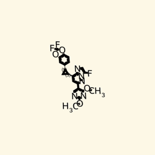 COc1ncc(-c2cc([C@H]3C[C@@H]3c3ccc4c(c3)OC(F)(F)O4)c3ncc(F)n3n2)c(OC)n1